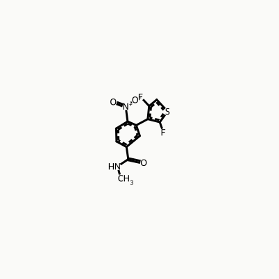 CNC(=O)c1ccc([N+](=O)[O-])c(-c2c(F)csc2F)c1